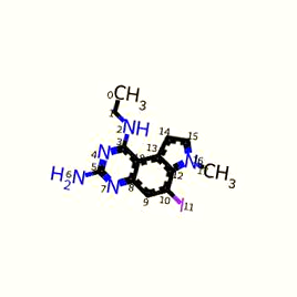 CCNc1nc(N)nc2cc(I)c3c(ccn3C)c12